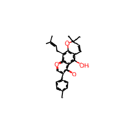 CC(C)=CCc1c2c(c(O)c3c(=O)c(-c4ccc(C)cc4)coc13)C=CC(C)(C)O2